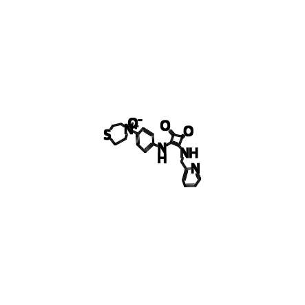 O=c1c(NCc2ccccn2)c(Nc2ccc([N+]3([O-])CCSCC3)cc2)c1=O